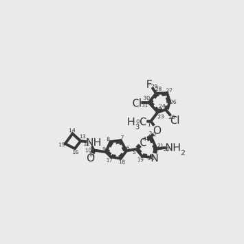 CC(Oc1cc(-c2ccc(C(=O)NC3CCC3)cc2)cnc1N)c1c(Cl)ccc(F)c1Cl